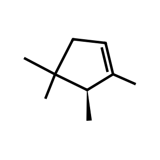 CC1=CCC(C)(C)[C@@H]1C